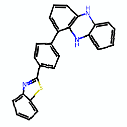 c1ccc2c(c1)Nc1cccc(-c3ccc(-c4nc5ccccc5s4)cc3)c1N2